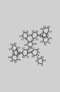 c1ccc(-c2ccc(-c3ccc(-c4ccccc4-c4ccc(-n5c6ccccc6c6ccccc65)cc4)cc3)c(-c3ccc(-n4c5ccccc5c5ccccc54)cc3)c2)cc1